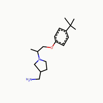 CC(COc1ccc(C(C)(C)C)cc1)N1CCC(CN)C1